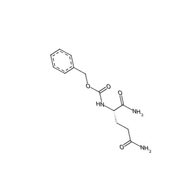 NC(=O)CC[C@H](NC(=O)OCc1ccccc1)C(N)=O